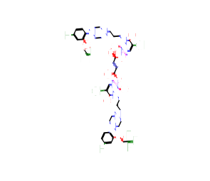 O=C(/C=C/C(=O)On1cc(Cl)c(=O)n(CCCN2CCN(c3ccc(F)cc3OCC(F)(F)F)CC2)c1=O)On1cc(Cl)c(=O)n(CCCN2CCN(c3ccc(F)cc3OCC(F)(F)F)CC2)c1=O